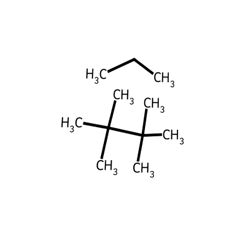 CC(C)(C)C(C)(C)C.CCC